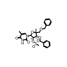 Cc1cn(C2O[C@](C)(COCc3ccccc3)[C@@H](OCc3ccccc3)[C@H]2OS(C)(=O)=O)c(=O)[nH]c1=O